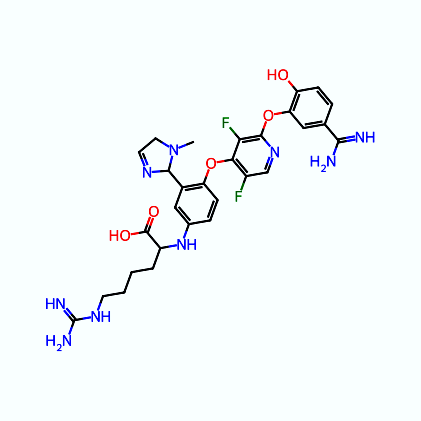 CN1CC=NC1c1cc(NC(CCCCNC(=N)N)C(=O)O)ccc1Oc1c(F)cnc(Oc2cc(C(=N)N)ccc2O)c1F